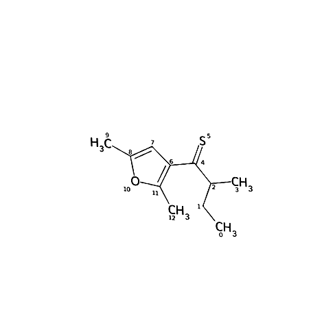 CCC(C)C(=S)c1cc(C)oc1C